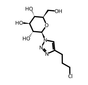 OC[C@H]1O[C@@H](n2cc(CCCCl)nn2)[C@H](O)[C@@H](O)[C@@H]1O